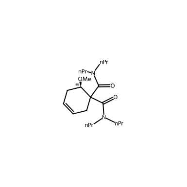 CCCN(CCC)C(=O)C1(C(=O)N(CCC)CCC)CC=CC[C@H]1OC